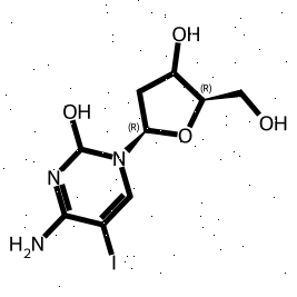 NC1=NC(O)N([C@H]2CC(O)[C@@H](CO)O2)C=C1I